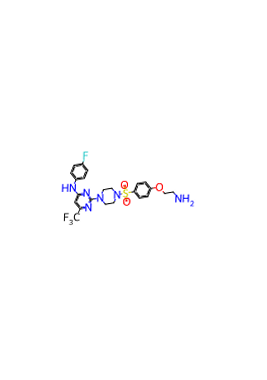 NCCOc1ccc(S(=O)(=O)N2CCN(c3nc(Nc4ccc(F)cc4)cc(C(F)(F)F)n3)CC2)cc1